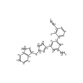 Cc1c(C#N)cccc1-c1cc(-c2cn(Cc3c[nH]c4cnccc34)nn2)nc(N)n1